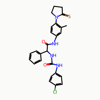 Cc1cc(NC(=O)C(NC(=O)Nc2ccc(Cl)cc2)c2ccccc2)ccc1N1CCCC1=S